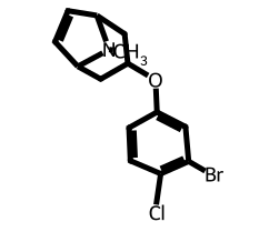 CN1C2C=CC1CC(Oc1ccc(Cl)c(Br)c1)C2